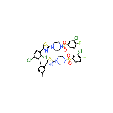 Cc1ccc(C)c(-c2csc(N3CCN(S(=O)(=O)c4ccc(F)c(Cl)c4)CC3)n2)c1.O=S(=O)(c1ccc(F)c(Cl)c1)N1CCN(c2nc(-c3ccc(Cl)cc3Cl)cs2)CC1